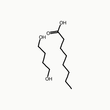 CCCCCCCC(=O)O.OCCCCO